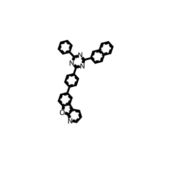 c1ccc(-c2nc(-c3ccc(-c4ccc5oc6ncccc6c5c4)cc3)nc(-c3ccc4ccccc4c3)n2)cc1